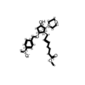 COC(=O)CCCC=CC[C@@H]1[C@@H](N2CCOCC2)[C@H](O)C[C@@H]1OCc1ccc([S+](C)[O-])cc1